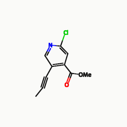 CC#Cc1cnc(Cl)cc1C(=O)OC